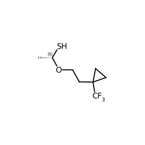 C[C@H](S)OCCC1(C(F)(F)F)CC1